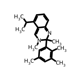 Cc1cc(C)c(C)c(C2(C)N=c3cccc(C(C)C)c3=CN2C)c1